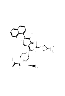 C=C(F)C(=O)N1CCN(c2nc(N3CC(N(C)C)C3)nc3c(F)c(-c4cccc5cccc(Cl)c45)ncc23)C[C@@H]1CC#N